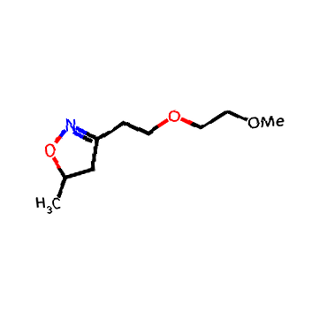 COCCOCCC1=NOC(C)C1